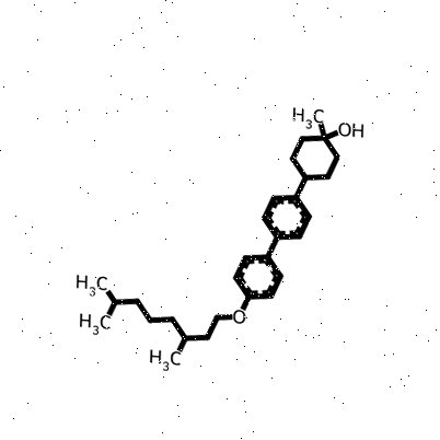 CC(C)CCCC(C)CCOc1ccc(-c2ccc(C3CCC(C)(O)CC3)cc2)cc1